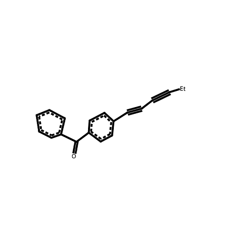 CCC#CC#Cc1ccc(C(=O)c2ccccc2)cc1